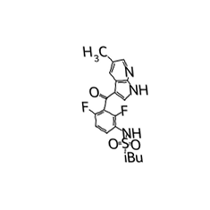 CCC(C)S(=O)(=O)Nc1ccc(F)c(C(=O)c2c[nH]c3ncc(C)cc23)c1F